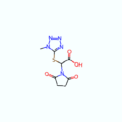 Cn1nnnc1SC(C(=O)O)N1C(=O)CCC1=O